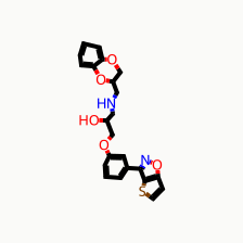 OC(CNCC1COc2ccccc2O1)COc1cccc(-c2noc3ccsc23)c1